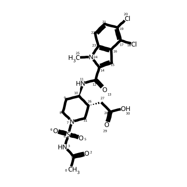 CC(=O)NS(=O)(=O)N1CC[C@@H](NC(=O)c2cc3c(Cl)c(Cl)ccc3n2C)[C@H](CC(=O)O)C1